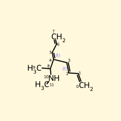 C=C/C=C/C(=C\C=C)C(C)NC